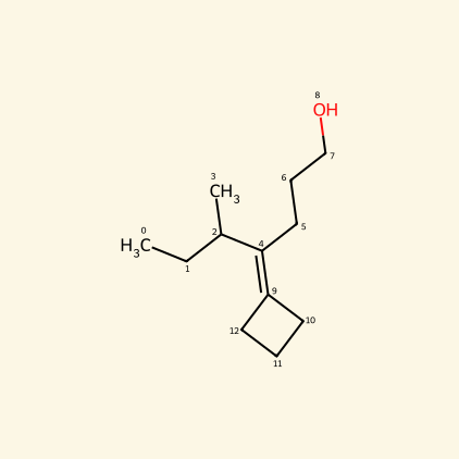 CCC(C)C(CCCO)=C1CCC1